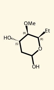 CC[C@H]1OC(O)C[C@H](O)[C@H]1OC